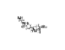 CC(C)(C)c1cc2cn(-c3ccc(C(=O)NCCCN)cc3)c(=O)nc2[nH]1